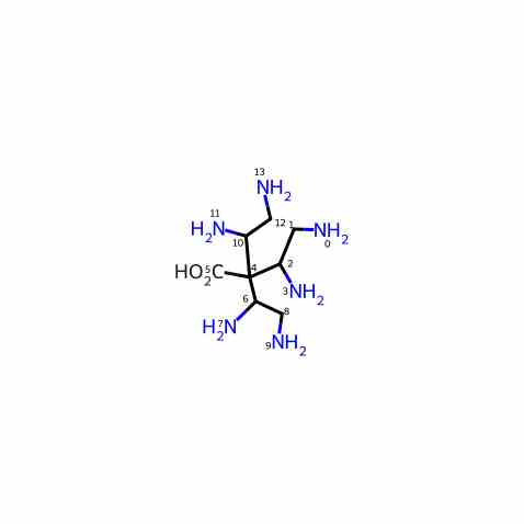 NCC(N)C(C(=O)O)(C(N)CN)C(N)CN